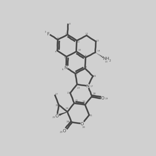 Cc1c(F)cc2nc3c(c4c2c1CC[C@@H]4N)CN1C(=O)C2=C(CC31)[C@]1(OC1C)C(=O)OC2